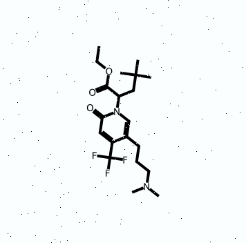 CCOC(=O)C(CC(C)(C)C)n1cc(CCCN(C)C)c(C(F)(F)F)cc1=O